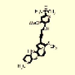 COc1cc(P(C)(C)=O)ncc1NCC#Cc1cc2c(N[C@@H]3CCN(C)C[C@@H]3F)cccn2c1SC(F)(F)F